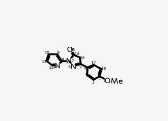 COc1ccc(C2=NN(c3ccccn3)C(=O)C2)cc1